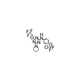 FC(F)(F)COc1nc(Nc2ccc(OC(F)(F)Cl)cc2)nc(N2CCCCC2)n1